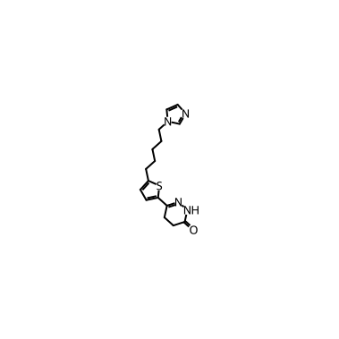 O=C1CCC(c2ccc(CCCCCn3ccnc3)s2)=NN1